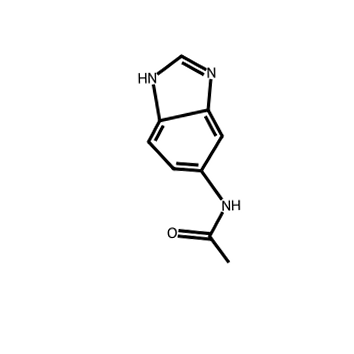 CC(=O)Nc1ccc2[nH]cnc2c1